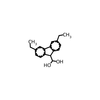 CCc1ccc2c(c1)-c1cc(CC)ccc1C2C(O)O